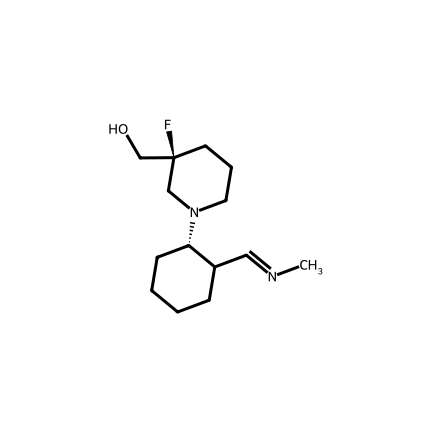 C/N=C/C1CCCC[C@@H]1N1CCC[C@@](F)(CO)C1